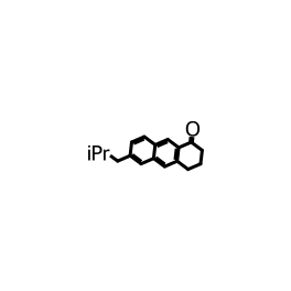 CC(C)Cc1ccc2cc3c(cc2c1)CCCC3=O